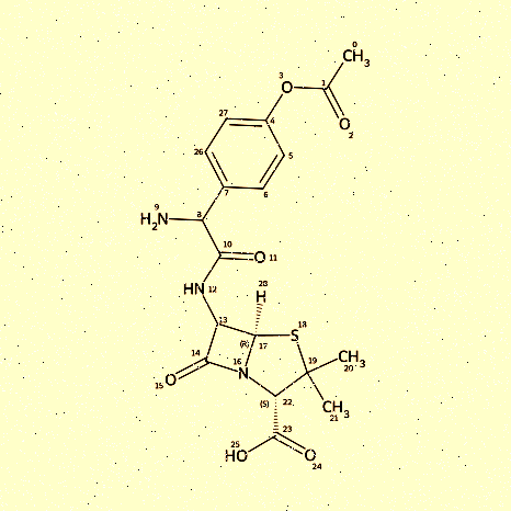 CC(=O)Oc1ccc(C(N)C(=O)NC2C(=O)N3[C@@H]2SC(C)(C)[C@@H]3C(=O)O)cc1